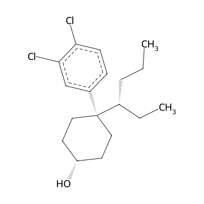 CCC[C@H](CC)[C@]1(c2ccc(Cl)c(Cl)c2)CC[C@@H](O)CC1